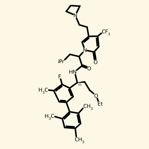 CCOCC[C@H](NC(=O)C(CC(C)C)n1cc(CCN2CCC2)c(C(F)(F)F)cc1=O)c1cc(-c2c(C)cc(C)cc2C)cc(C)c1F